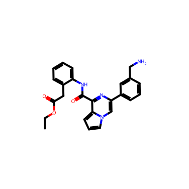 CCOC(=O)Cc1ccccc1NC(=O)c1nc(-c2cccc(CN)c2)cn2cccc12